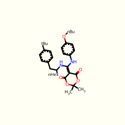 CCCCCCC(Cc1ccc(C(C)(C)C)cc1)NC(Nc1ccc(OCCCC)cc1)=C1C(=O)OC(C)(C)OC1=O